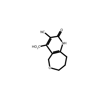 N#Cc1c(C(=O)O)c2c([nH]c1=O)CCCOC2